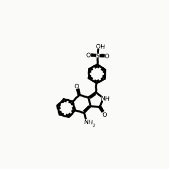 NC1=C2C(=O)NC(c3ccc(S(=O)(=O)O)cc3)=C2C(=O)c2ccccc21